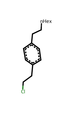 CCCCCCCCc1ccc(CCCl)cc1